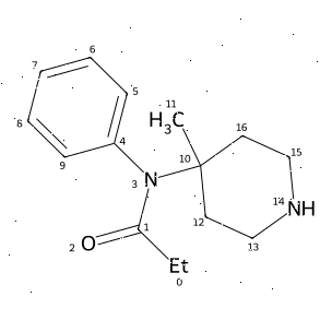 CCC(=O)N(c1ccccc1)C1(C)CCNCC1